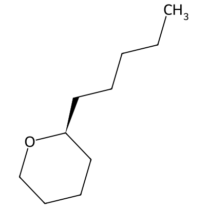 CCCCC[C@H]1CCCCO1